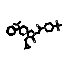 CN(C)[C@]1(c2ccccc2)CC[C@]2(CC1)CN(CC(=O)N1CCC(S(C)(=O)=O)CC1)C(=O)N2CC1CC1